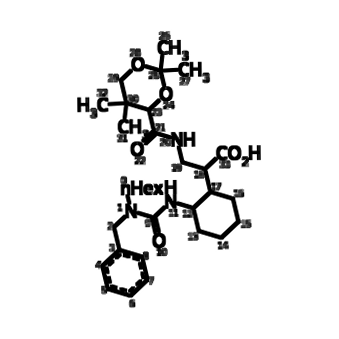 CCCCCCN(Cc1ccccc1)C(=O)NC1CCCCC1C(CNC(=O)C1OC(C)(C)OCC1(C)C)C(=O)O